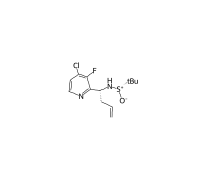 C=CC[C@@H](N[S@@+]([O-])C(C)(C)C)c1nccc(Cl)c1F